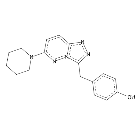 Oc1ccc(Cc2nnc3ccc(N4CCCCC4)nn23)cc1